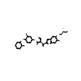 Cc1cc(-n2ncc(C(=O)c3cc4cc(OC[C@H](O)CO)c(Br)cc4[nH]3)c2N)ccc1Oc1ccccc1F